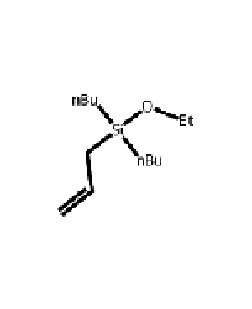 C=CC[Si](CCCC)(CCCC)OCC